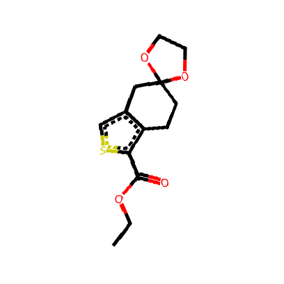 CCOC(=O)c1scc2c1CCC1(C2)OCCO1